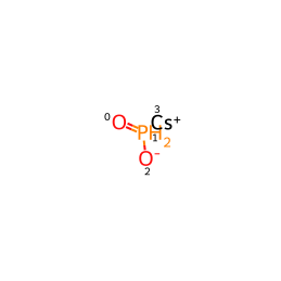 O=[PH2][O-].[Cs+]